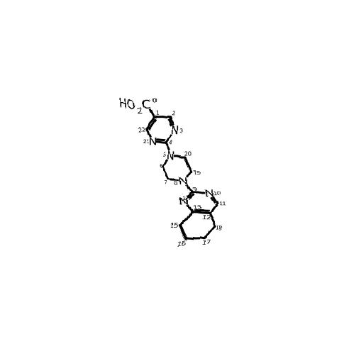 O=C(O)c1cnc(N2CCN(c3ncc4c(n3)CCCC4)CC2)nc1